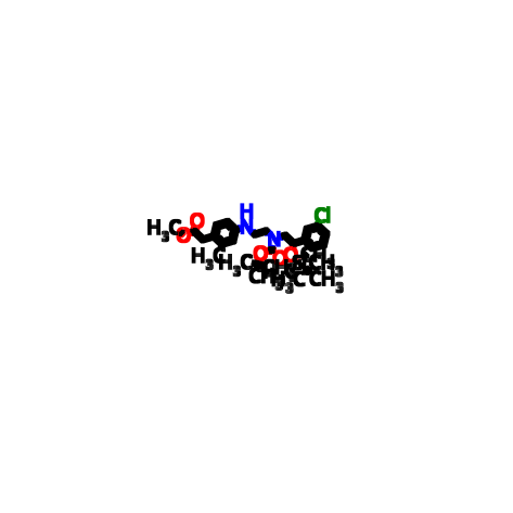 COC(=O)Cc1ccc(NCCN(CC(O[Si](C)(C)C(C)(C)C)c2cccc(Cl)c2)C(=O)OC(C)(C)C)cc1C